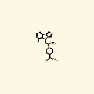 CC(C)=C1CCC(C(CC2c3c(F)cccc3-c3cncn32)N=O)CC1